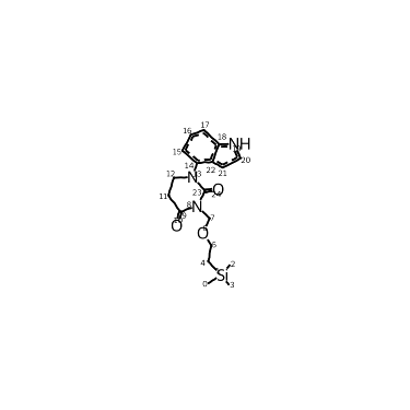 C[Si](C)(C)CCOCN1C(=O)CCN(c2cccc3[nH]ccc23)C1=O